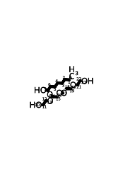 CCCCCCCC(=O)O.OCCOCCOOCCOCCO